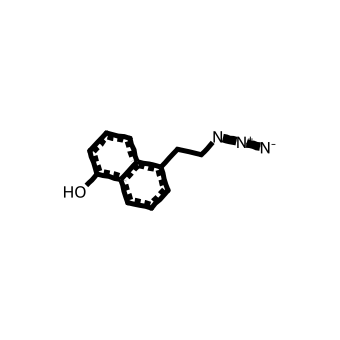 [N-]=[N+]=NCCc1cccc2c(O)cccc12